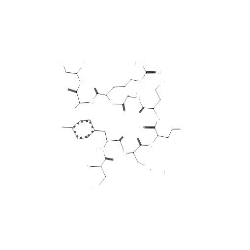 CCC(C)C(NC(=O)C(CCC(=O)O)NC(=O)C(CCC(=O)O)NC(=O)C(CCC(=O)O)NC(=O)C(Cc1ccc(O)cc1)NC(=O)C(N)CC(C)C)C(=O)NC(CCCNC(=N)N)C(=O)NC(C(=O)NC(CC(C)C)C(C)=O)C(C)C